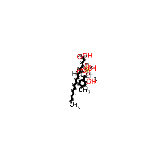 CC1CCC(C(C)C)C(O)C1.CCCCCCCCCCCCCCCCCC(=O)O.O=S(=O)(O)O